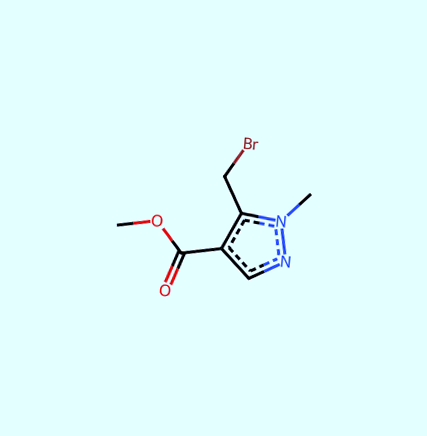 COC(=O)c1cnn(C)c1CBr